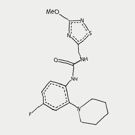 COc1nsc(NC(=O)Nc2ccc(F)cc2N2CCCCC2)n1